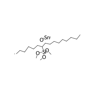 [CH2]CCCCCC(CCCCCCCCC)[Si](OC)(OC)OC.[O]=[Sn]